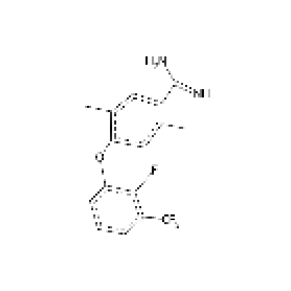 Cc1cc(C(=N)N)c(C)cc1Oc1cccc(C(F)(F)F)c1F